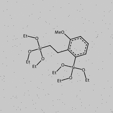 CCO[Si](CCc1c(OC)cccc1[Si](OCC)(OCC)OCC)(OCC)OCC